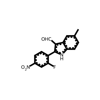 Cc1ccc2[nH]c(-c3ccc([N+](=O)[O-])cc3F)c(C=O)c2c1